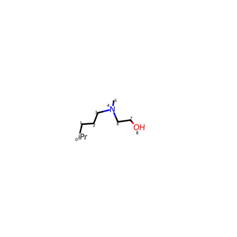 CC(C)CCCN(C)CCO